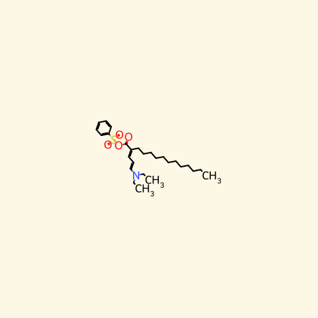 CCCCCCCCCCCCC(=CC=CN(CC)CC)C(=O)OS(=O)(=O)c1ccccc1